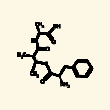 C[C@H](NC(=O)[C@H](C)N(C)SC(=O)[C@@H](N)Cc1ccccc1)C(=O)O